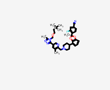 Cc1cc(-c2nnc(C)n2COCC[Si](C)(C)C)cnc1CN1CCC(c2cccc3c2O[C@@](C)(c2ccc(C#N)cc2F)O3)CC1